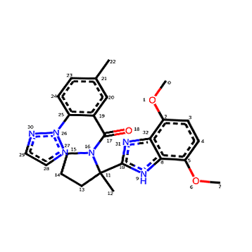 COc1ccc(OC)c2[nH]c(C3(C)CCCN3C(=O)c3cc(C)ccc3-n3nccn3)nc12